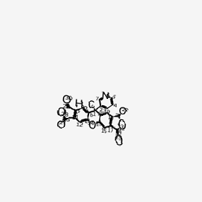 CC1(c2cccnc2)c2cc3c(cc2Oc2cc4c(cc21)C(=O)OC4=O)C(=O)OC3=O